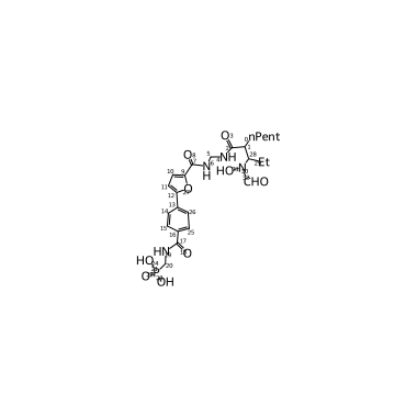 CCCCCC(C(=O)NCNC(=O)c1ccc(-c2ccc(C(=O)NCP(=O)(O)O)cc2)o1)C(CC)N(O)C=O